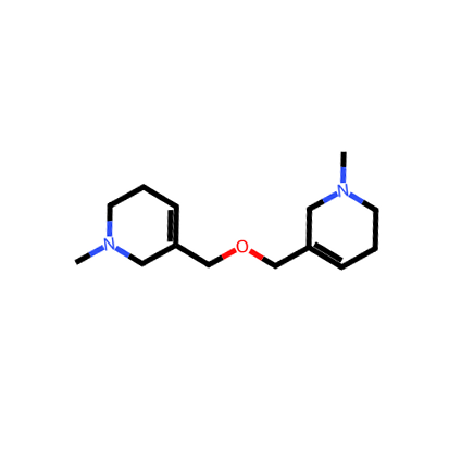 CN1CCC=C(COCC2=CCCN(C)C2)C1